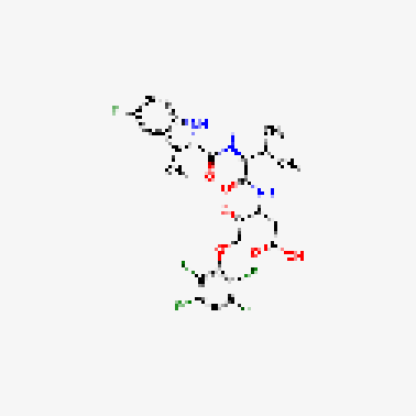 Cc1c(C(=O)N[C@H](C(=O)NC(CC(=O)O)C(=O)COc2c(F)c(F)cc(F)c2F)C(C)C)[nH]c2ccc(F)cc12